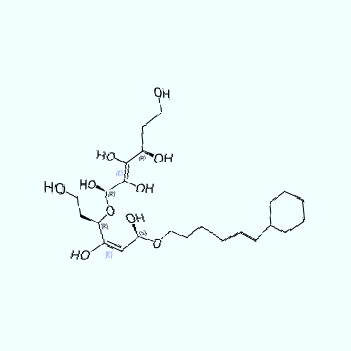 OCC[C@@H](O)/C(O)=C(\O)[C@H](O)O[C@H](CCO)/C(O)=C\[C@@H](O)OCCCCCCC1CCCCC1